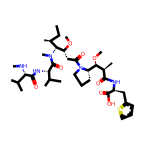 CC[C@H](C)[C@H]([C@@H](CC(=O)N1CCC[C@H]1[C@H](OC)[C@@H](C)C(=O)N[C@@H](Cc1cccs1)C(=O)O)OC)N(C)C(=O)[C@@H](NC(=O)[C@@H](NC)C(C)C)C(C)C